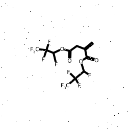 C=C(CC(=O)OC(F)C(F)(F)C(F)(F)F)C(=O)OC(F)C(F)(F)C(F)(F)F